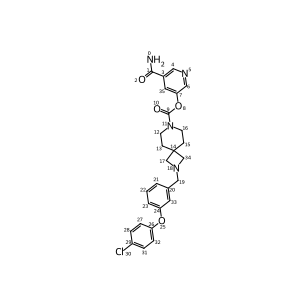 NC(=O)c1cncc(OC(=O)N2CCC3(CC2)CN(Cc2cccc(Oc4ccc(Cl)cc4)c2)C3)c1